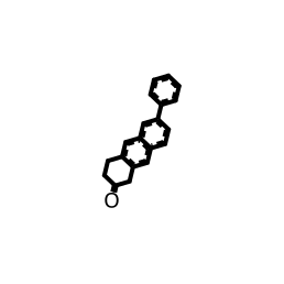 O=C1CCc2cc3cc(-c4ccccc4)ccc3cc2C1